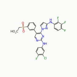 O=C(O)CS(=O)(=O)c1cccc(-c2cnc(Nc3ccc(F)c(Cl)c3)nc2-n2ccc(Nc3ccc(F)c(F)c3F)n2)c1